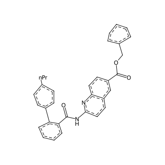 CCCc1ccc(-c2ccccc2C(=O)Nc2ccc3cc(C(=O)OCc4ccccc4)ccc3n2)cc1